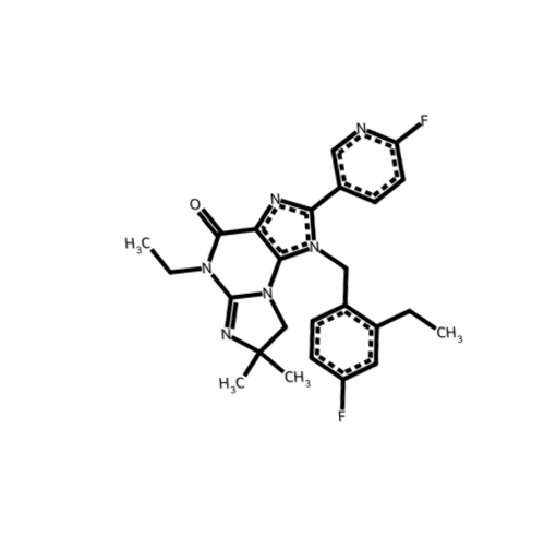 CCc1cc(F)ccc1Cn1c(-c2ccc(F)nc2)nc2c1N1CC(C)(C)N=C1N(CC)C2=O